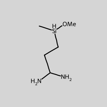 CO[SiH](C)CCC(N)N